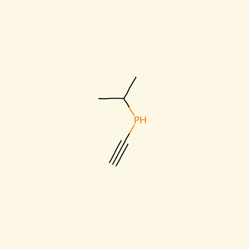 C#CPC(C)C